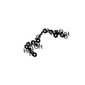 Cc1c(OCCCCC2CCN(CC3CCN(c4cccc5c(C6CCC(=O)NC6=O)nn(C)c45)CC3)CC2)cccc1-c1ccc(N2CCc3cccc(C(=O)Nc4nc5ccccc5s4)c3C2)nc1C(=O)O